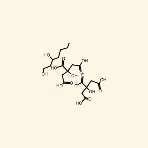 CCCCC(O)CCO.O=C(O)CC(O)(CC(=O)O)C(=O)O.O=C(O)CC(O)(CC(=O)O)C(=O)O